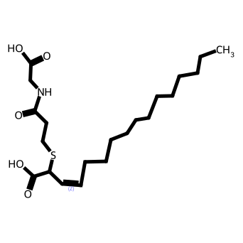 CCCCCCCCCCCC/C=C\C(SCCC(=O)NCC(=O)O)C(=O)O